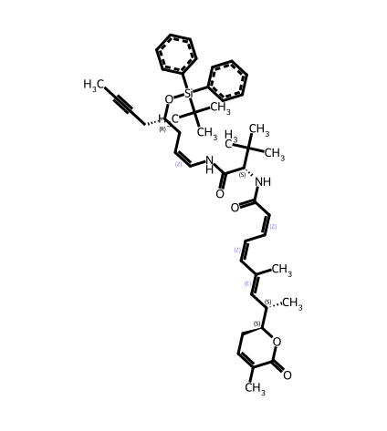 CC#CC[C@@H](C/C=C\NC(=O)[C@@H](NC(=O)\C=C/C=C\C(C)=C\[C@H](C)[C@@H]1CC=C(C)C(=O)O1)C(C)(C)C)O[Si](c1ccccc1)(c1ccccc1)C(C)(C)C